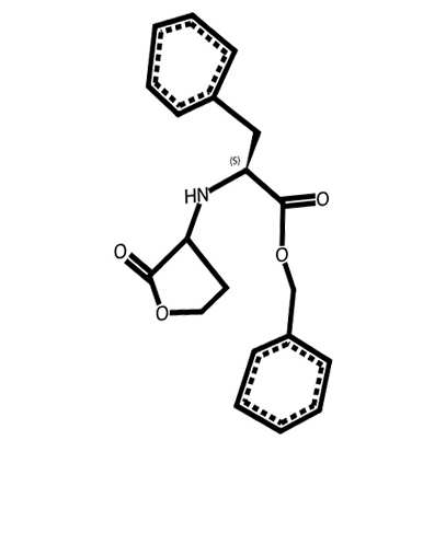 O=C1OCCC1N[C@@H](Cc1ccccc1)C(=O)OCc1ccccc1